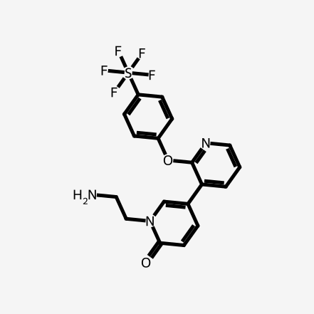 NCCn1cc(-c2cccnc2Oc2ccc(S(F)(F)(F)(F)F)cc2)ccc1=O